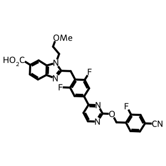 COCCn1c(Cc2c(F)cc(-c3ccnc(OCc4ccc(C#N)cc4F)n3)cc2F)nc2ccc(C(=O)O)cc21